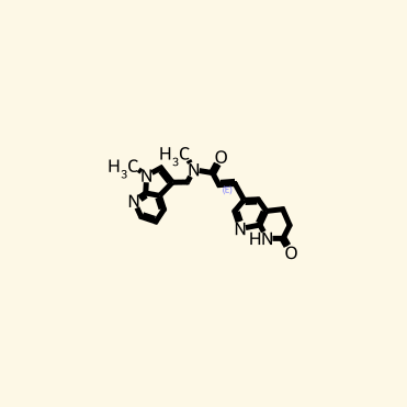 CN(Cc1cn(C)c2ncccc12)C(=O)/C=C/c1cnc2c(c1)CCC(=O)N2